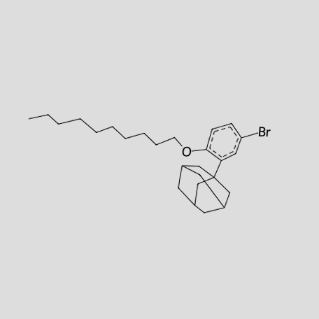 CCCCCCCCCCOc1ccc(Br)cc1C12CC3CC(CC(C3)C1)C2